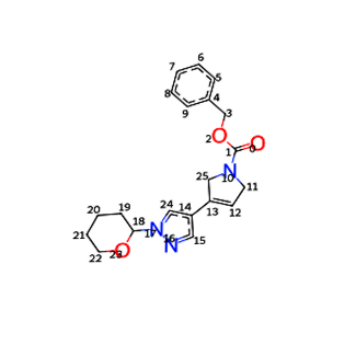 O=C(OCc1ccccc1)N1CC=C(c2cnn(C3CCCCO3)c2)C1